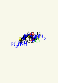 CO/N=C(\C(=O)N[C@@H]1C(=O)N2C(C(=O)O)=C(C[n+]3ccc4c(ccn4Cc4cc(C(=N)N)cs4)c3)CS[C@H]12)c1nc(N)sc1Cl